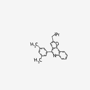 Cc1cc(C)cc(-c2nc3ccccc3c3oc(CC(C)C)cc23)c1